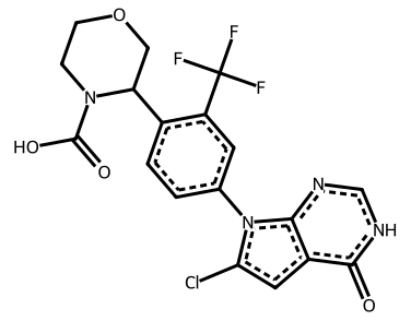 O=C(O)N1CCOCC1c1ccc(-n2c(Cl)cc3c(=O)[nH]cnc32)cc1C(F)(F)F